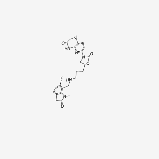 CN1C(=O)Cc2ccc(F)c(CNCCCC3CN(c4ccc5c(n4)NC(=O)CO5)C(=O)O3)c21